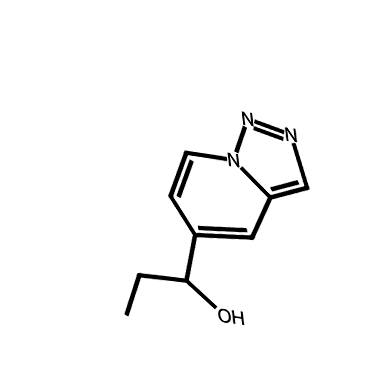 CCC(O)c1ccn2nncc2c1